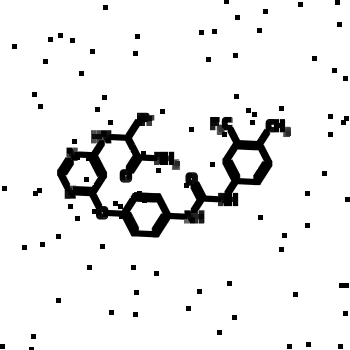 Cc1ccc(NC(=O)Nc2ccc(Oc3cc(NC(C(N)=O)C(C)C)ncn3)cc2)cc1C(F)(F)F